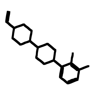 C=CC1CCC(C2CCC(c3cccc(C)c3C)CC2)CC1